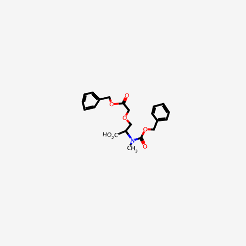 CN(C(=O)OCc1ccccc1)C(COCC(=O)OCc1ccccc1)C(=O)O